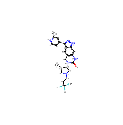 Cc1cc(-c2n[nH]c3cc4c(cc23)CN([C@@H]2CN(CCC(F)(F)F)C[C@H]2C)C(=O)N4)ccn1